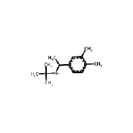 Cc1ccc(C(C)NC(C)(C)C)cc1C